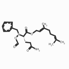 CC(C)=CCC/C(C)=C/COC(=O)[C@H](CCC(N)=O)N(Cc1ccccc1)OC=O